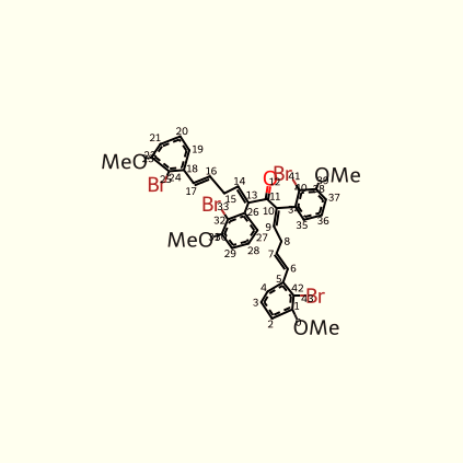 COc1cccc(/C=C/C/C=C(/C(=O)/C(=C/C/C=C/c2cccc(OC)c2Br)c2cccc(OC)c2Br)c2cccc(OC)c2Br)c1Br